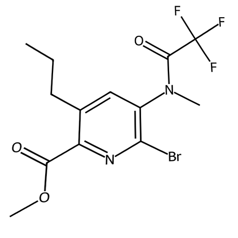 CCCc1cc(N(C)C(=O)C(F)(F)F)c(Br)nc1C(=O)OC